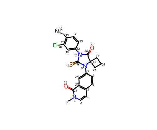 Cn1ccc2ccc(N3C(=S)N(c4ccc(C#N)c(Cl)c4)C(=O)C34CCC4)cc2c1=O